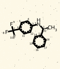 C[C@H](Nc1ccc(C(F)(F)F)cc1)c1ccccc1